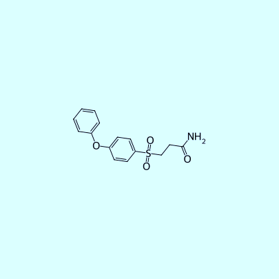 NC(=O)CCS(=O)(=O)c1ccc(Oc2ccccc2)cc1